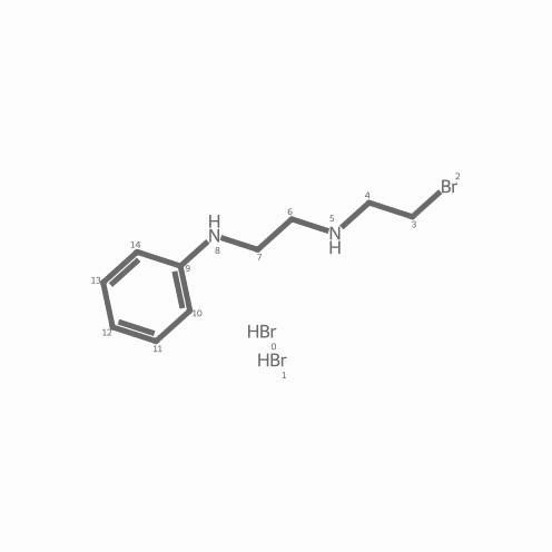 Br.Br.BrCCNCCNc1ccccc1